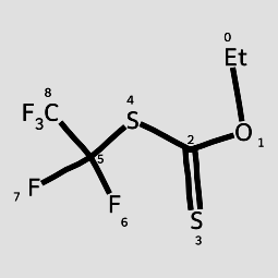 CCOC(=S)SC(F)(F)C(F)(F)F